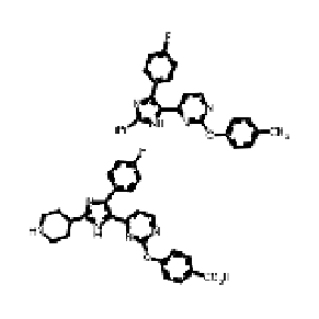 Cc1ccc(Oc2nccc(-c3[nH]c(C(C)C)nc3-c3ccc(F)cc3)n2)cc1.O=C(O)c1ccc(Oc2nccc(-c3[nH]c(C4CCNCC4)nc3-c3ccc(F)cc3)n2)cc1